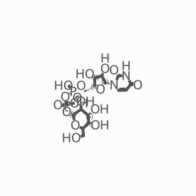 O=c1ccn([C@@H]2O[C@H](COP(=O)(O)OP(=O)(O)O[C@H]3OC(CO)[C@H](O)[C@H](O)C3O)[C@H](O)C2O)c(=O)[nH]1